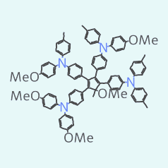 COc1ccc(N(c2ccc(C)cc2)c2ccc(C3=C(c4ccc(N(c5ccc(C)cc5)c5ccc(C)cc5)cc4)C(C)(OC)C(c4ccc(N(c5ccc(OC)cc5)c5ccc(OC)cc5)cc4)=C3c3ccc(N(c4ccc(C)cc4)c4ccc(OC)cc4)cc3)cc2)cc1